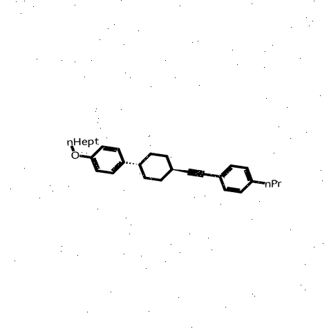 CCCCCCCOc1ccc([C@H]2CC[C@H](C#Cc3ccc(CCC)cc3)CC2)cc1